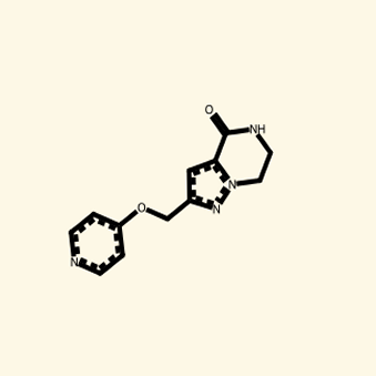 O=C1NCCn2nc(COc3ccncc3)cc21